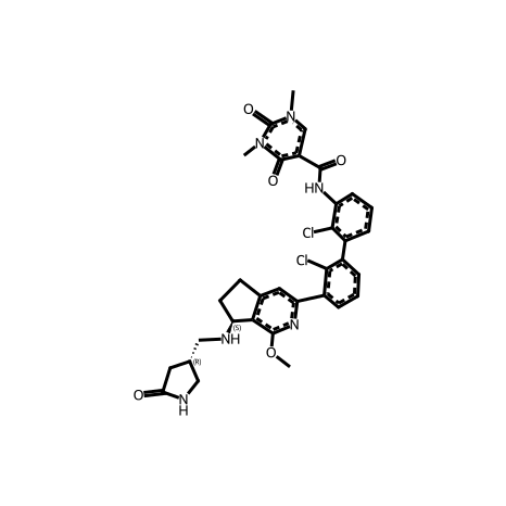 COc1nc(-c2cccc(-c3cccc(NC(=O)c4cn(C)c(=O)n(C)c4=O)c3Cl)c2Cl)cc2c1[C@@H](NC[C@@H]1CNC(=O)C1)CC2